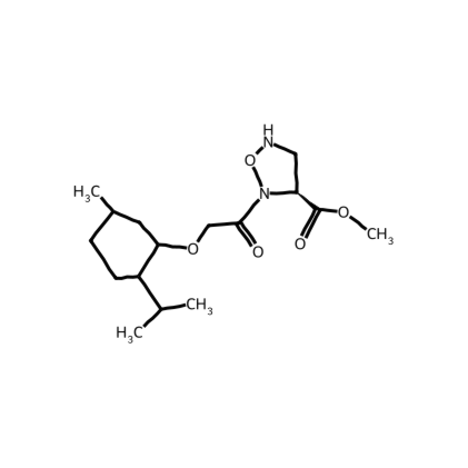 COC(=O)[C@@H]1CNON1C(=O)COC1CC(C)CCC1C(C)C